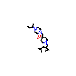 CCC(C)N1CCN(CC2(OC)CCN(CC3(CC(C)C)CC3)CC2)CC1